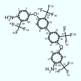 Nc1ccc(Oc2ccc(-c3ccc(Oc4ccc(N)c(C(F)(F)F)c4)c(C(F)(F)F)c3)cc2C(F)(F)F)cc1C(F)(F)F